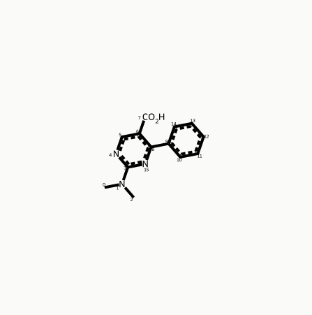 CN(C)c1ncc(C(=O)O)c(-c2ccccc2)n1